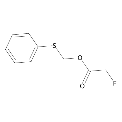 O=C(CF)OCSc1ccccc1